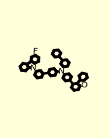 Fc1ccc2c(c1)c1ccccc1n2-c1cccc(-c2ccc(N(c3ccc(-c4cccc5oc6ccccc6c45)cc3)c3cccc(-c4ccccc4)c3)cc2)c1